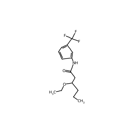 CCCC(CC(=O)Nc1cccc(C(F)(F)F)c1)OCC